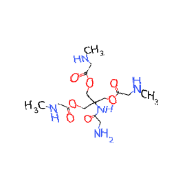 CNCC(=O)OCC(COC(=O)CNC)(COC(=O)CNC)NC(=O)CN